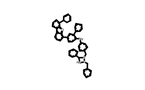 C1=CCC(c2cccc3c2oc2c(-c4ccc(Nc5ccc(CN6C(c7ccccc7)NN6Cc6ccccc6)cc5)c(-c5ccccc5)c4)cccc23)C=C1